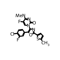 CNc1nc(=O)n(-c2nc(-c3ccc(C)s3)oc2-c2ccc(Cl)c(F)c2)cc1F